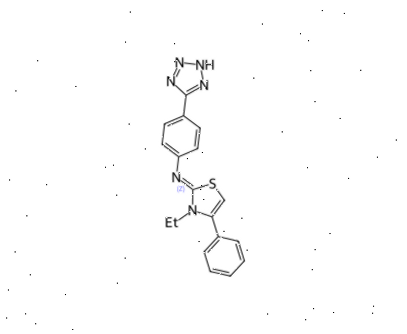 CCn1c(-c2ccccc2)cs/c1=N\c1ccc(-c2nn[nH]n2)cc1